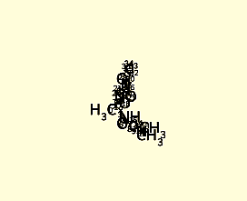 CC(CCNC(=O)c1ccc(N(C)C)cc1)CC(=O)N1CCC2C1C(=O)CN2C(=O)Cc1ccccc1